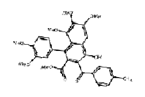 COC(=O)c1c(C(=O)c2ccc(C)cc2)c(O)c2cc(OC)c(OC)c(OC)c2c1-c1ccc(OC)c(OC)c1